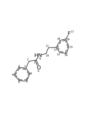 O=C(Cc1ccccc1)NCCc1cccc(F)c1